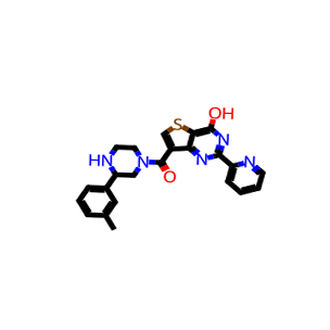 Cc1cccc(C2CN(C(=O)c3csc4c(O)nc(-c5ccccn5)nc34)CCN2)c1